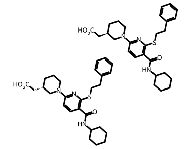 O=C(O)C[C@@H]1CCCN(c2ccc(C(=O)NC3CCCCC3)c(SCCc3ccccc3)n2)C1.O=C(O)C[C@H]1CCCN(c2ccc(C(=O)NC3CCCCC3)c(SCCc3ccccc3)n2)C1